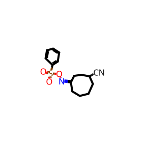 N#CC1CCCCC(=NOS(=O)(=O)c2ccccc2)CC1